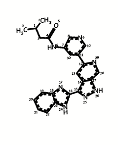 CC(C)CC(=O)Nc1cncc(-c2cc3c(-c4nc5ccccc5[nH]4)n[nH]c3cn2)c1